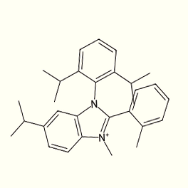 Cc1ccccc1-c1n(-c2c(C(C)C)cccc2C(C)C)c2cc(C(C)C)ccc2[n+]1C